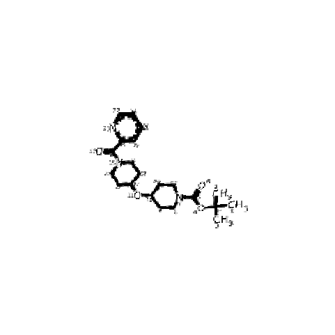 CC(C)(C)OC(=O)N1CCC(OC2CCN(C(=O)c3ccccn3)CC2)CC1